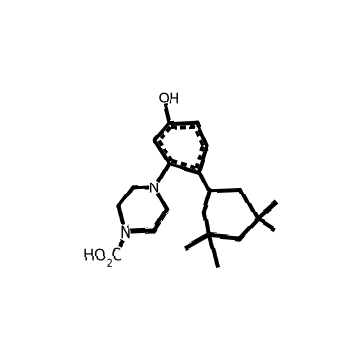 CC1(C)CC(c2ccc(O)cc2N2CCN(C(=O)O)CC2)CC(C)(C)C1